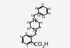 O=C(O)c1ccccc1CN1CCN(Cc2ccccc2)CC1